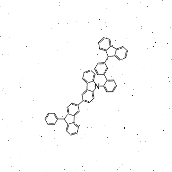 c1ccc(C2c3ccccc3-c3cc(-c4ccc5c(c4)c4ccccc4n5-c4ccccc4-c4cccc(C5c6ccccc6-c6ccccc65)c4)ccc32)cc1